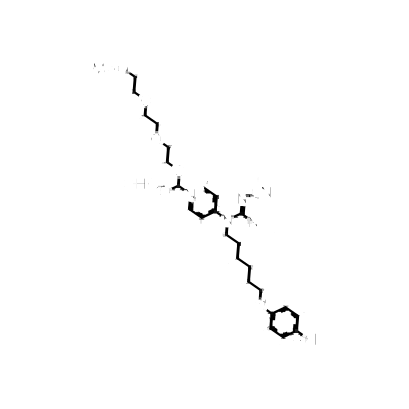 COCCOCCOCCOC(OC=O)[n+]1ccc(N(CCCCCCOc2ccc(Cl)cc2)C(N)=NC#N)cc1.[I-]